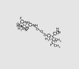 C=C\C(F)=C/C(Cl)=C(C)/C(CC)=C(\c1ccc(OCCOCCOCCNc2ccc([C@H]3Nc4cc(F)cc5c(=O)[nH]nc(c45)[C@@H]3c3ncnn3C)cc2)cc1)c1ccc2[nH]ncc2c1